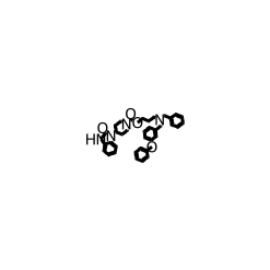 O=C(OCCCN(Cc1ccccc1)Cc1cccc(Oc2ccccc2)c1)N1CCC(n2c(=O)[nH]c3ccccc32)CC1